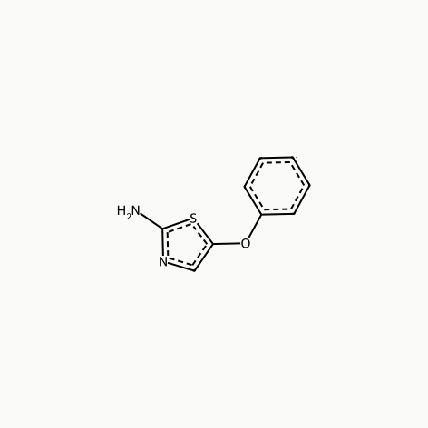 Nc1ncc(Oc2cc[c]cc2)s1